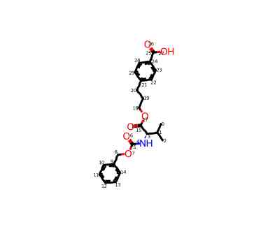 CC(C)[C@H](NC(=O)OCc1ccccc1)C(=O)OCCCc1ccc(C(=O)O)cc1